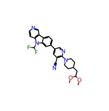 COC(CC1CCN(c2ncc(-c3ccc4c5cnccc5n(C(F)F)c4c3)cc2C#N)CC1)OC